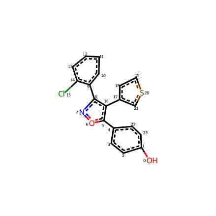 Oc1ccc(-c2onc(-c3ccccc3Cl)c2-c2ccsc2)cc1